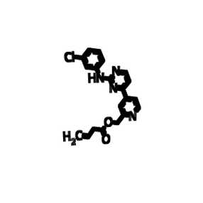 C=CCC(=O)OCc1cc(-c2ccnc(Nc3cccc(Cl)c3)n2)ccn1